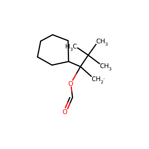 [CH2]C(OC=O)(C1CCCCC1)C(C)(C)C